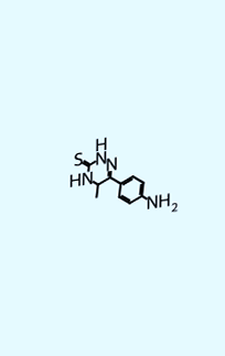 CC1NC(=S)NN=C1c1ccc(N)cc1